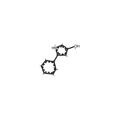 Oc1c[nH]c(-c2ccccc2)c1